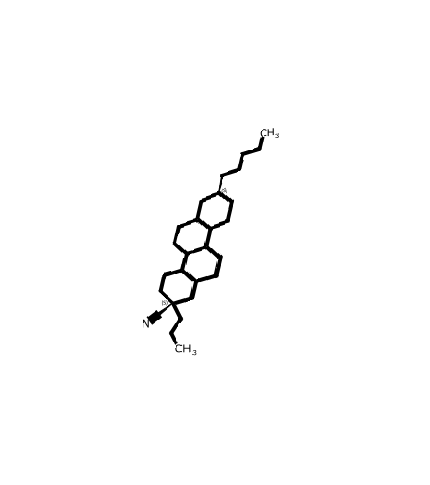 CCCCC[C@H]1CCC2C(CCC3C4CC[C@@](C#N)(CCC)CC4CCC23)C1